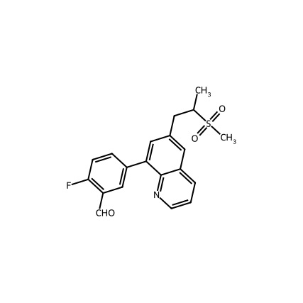 CC(Cc1cc(-c2ccc(F)c(C=O)c2)c2ncccc2c1)S(C)(=O)=O